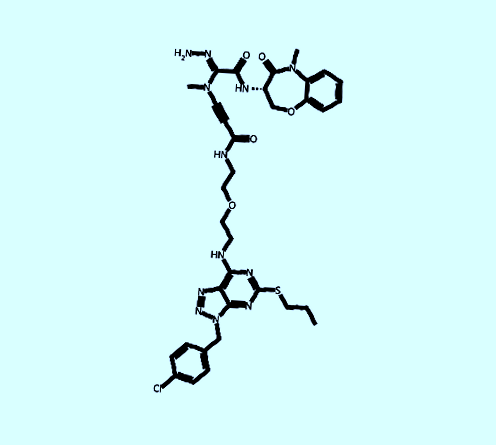 CCCSc1nc(NCCOCCNC(=O)C#CN(C)/C(=N\N)C(=O)N[C@H]2COc3ccccc3N(C)C2=O)c2nnn(Cc3ccc(Cl)cc3)c2n1